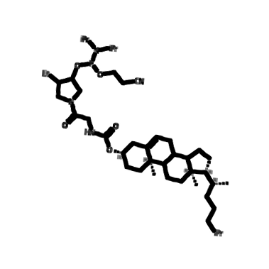 CCC1CN(C(=O)CNC(=O)O[C@H]2CC[C@@]3(C)C(=CCC4C3CC[C@@]3(C)C4CC[C@@H]3[C@H](C)CCCC(C)C)C2)CC1OP(OCCC#N)N(C(C)C)C(C)C